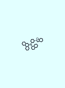 c1cc(-c2cc3ccccc3o2)cc(N(c2cccc3ccccc23)c2cc3ccccc3c3ccccc23)c1